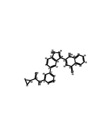 O=C(Nc1cncc(-c2ccc3[nH]nc(-c4nc(=O)c5ccccc5[nH]4)c3c2)c1)C1CC1